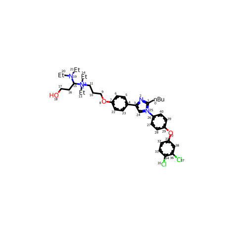 CCCCc1nc(-c2ccc(OCCC[N+](CC)(CC)C(CCO)N(CC)CC)cc2)cn1-c1ccc(Oc2ccc(Cl)c(Cl)c2)cc1